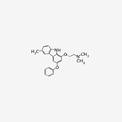 Cc1ccc2[nH]c3c(OCCN(C)C)cc(Oc4ccccc4)cc3c2c1